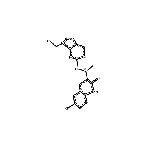 CC(C)Cn1cnc2cnc(N[C@@H](C)c3cc4cc(Cl)ccc4[nH]c3=O)nc21